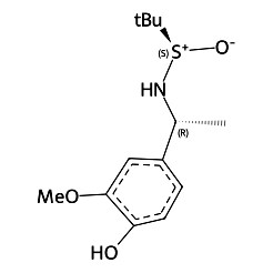 COc1cc([C@@H](C)N[S@+]([O-])C(C)(C)C)ccc1O